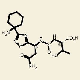 CC(O)[C@H](N[S+]([O-])N[C@@H](CC(N)=O)c1nc(C2(N)CCCCC2)no1)C(=O)O